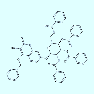 O=C(OC[C@H]1O[C@H](Oc2ccc3c(OCc4ccccc4)c(O)c(=O)oc3c2)[C@@H](OC(=O)c2ccccc2)[C@@H](OC(=O)c2ccccc2)[C@@H]1OC(=O)c1ccccc1)c1ccccc1